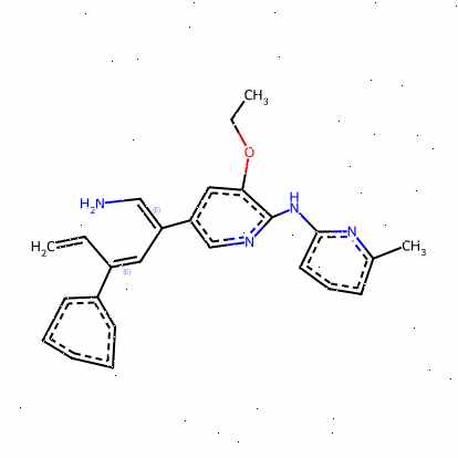 C=C/C(=C\C(=C/N)c1cnc(Nc2cccc(C)n2)c(OCC)c1)c1ccccc1